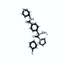 N[C@@H](C(=O)N1CCC[C@@H]1c1cccc(F)c1)c1ccc(C(=O)Nc2ccncc2)cc1